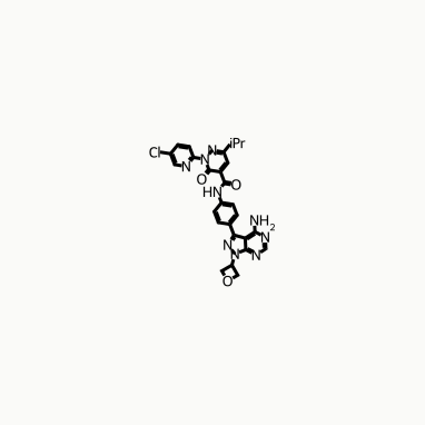 CC(C)c1cc(C(=O)Nc2ccc(-c3nn(C4COC4)c4ncnc(N)c34)cc2)c(=O)n(-c2ccc(Cl)cn2)n1